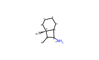 CC1C(N)C2CCCC[C@@H]12